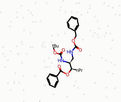 CCC[C@@H](OC(=O)c1ccccc1)[C@H](CNC(=O)OCc1ccccc1)NC(=O)OC(C)(C)C